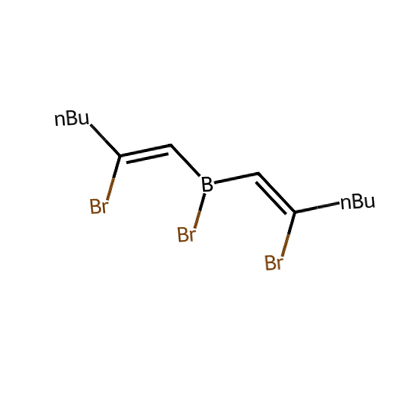 CCCCC(Br)=CB(Br)C=C(Br)CCCC